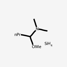 CCCC(OC)N(C)C.[SiH4]